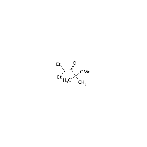 CCN(CC)C(=O)C(C)(C)OC